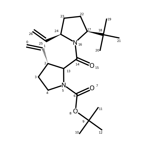 C=C[C@H]1CCN(C(=O)OC(C)(C)C)C1C(=O)N1[C@H](C(C)(C)C)CC[C@@H]1C=C